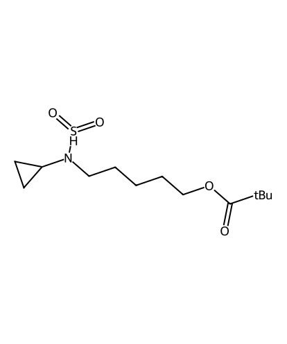 CC(C)(C)C(=O)OCCCCCN(C1CC1)[SH](=O)=O